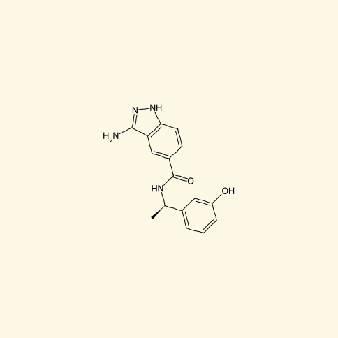 C[C@@H](NC(=O)c1ccc2[nH]nc(N)c2c1)c1cccc(O)c1